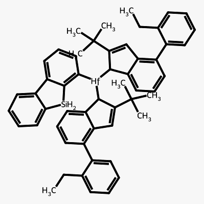 CCc1ccccc1-c1cccc2c1C=C(C(C)(C)C)[CH]2[Hf]([c]1cccc2c1[SiH2]c1ccccc1-2)[CH]1C(C(C)(C)C)=Cc2c(-c3ccccc3CC)cccc21